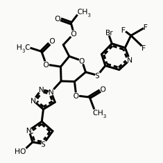 CC(=O)OCC1OC(Sc2cnc(C(F)(F)F)c(Br)c2)C(OC(C)=O)C(n2cc(-c3csc(O)n3)nn2)C1OC(C)=O